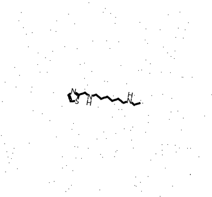 [CH2]CNCCCCCCNCc1nccs1